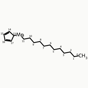 CCCCCCCCCCC[CH2][Mn][CH]1C=CC=C1